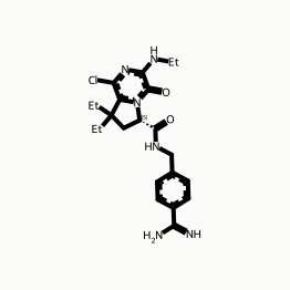 CCNc1nc(Cl)c2n(c1=O)[C@H](C(=O)NCc1ccc(C(=N)N)cc1)CC2(CC)CC